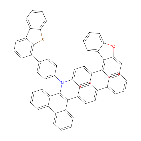 c1ccc(-c2ccc(-c3c(N(c4ccc(-c5cccc6c5sc5ccccc56)cc4)c4ccc(-c5cccc6oc7ccccc7c56)cc4)c4ccccc4c4ccccc34)cc2)cc1